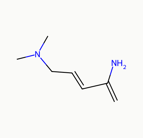 C=C(N)/C=C/CN(C)C